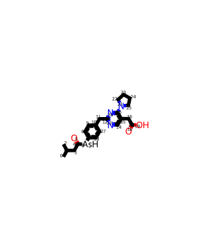 CC(C)CC(=O)[AsH]c1ccc(Cc2ncc(CC(=O)O)c(N3CCCC3)n2)cc1